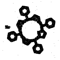 C1=Cc2nc1c(-c1ccccc1)c1ccc([nH]1)c(-c1ccccc1)c1nc(c(-c3ccccc3)c3ccc([nH]3)c2-c2ccccc2)C=C1.[Na]